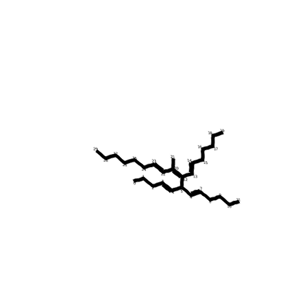 CCCC=C[C](C=CCCCC)C(C=CCCCCC)=C(C)C=CCCCCCC